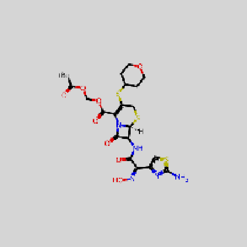 CC(C)(C)C(=O)OCOC(=O)C1=C(SC2CCOCC2)CS[C@H]2C(NC(=O)/C(=N\O)c3csc(N)n3)C(=O)N12